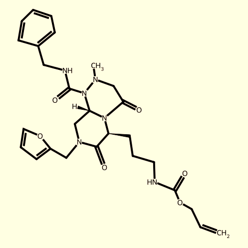 C=CCOC(=O)NCCC[C@H]1C(=O)N(Cc2ccco2)C[C@H]2N1C(=O)CN(C)N2C(=O)NCc1ccccc1